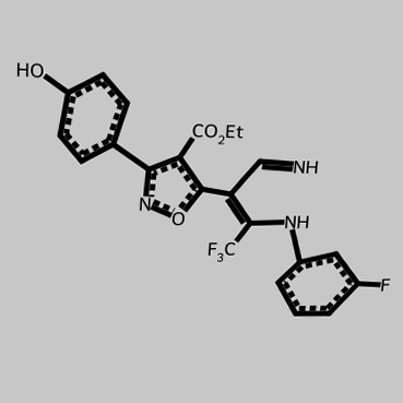 CCOC(=O)c1c(-c2ccc(O)cc2)noc1/C(C=N)=C(/Nc1cccc(F)c1)C(F)(F)F